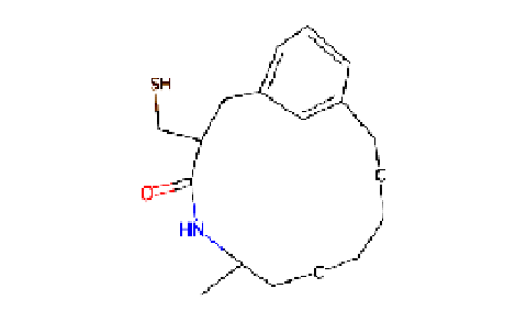 CC1CCCCCCc2cccc(c2)CC(CS)C(=O)N1